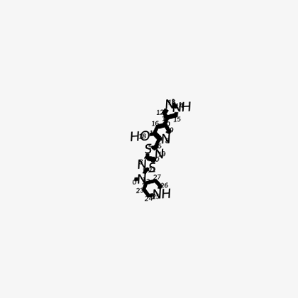 CN(c1nc2sc(-c3ncc(-c4cn[nH]c4)cc3O)nc2s1)C1CCNCC1